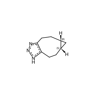 C1C[C@@H]2C[C@@H]2CCc2[nH]nnc21